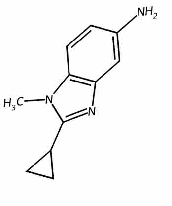 Cn1c(C2CC2)nc2cc(N)ccc21